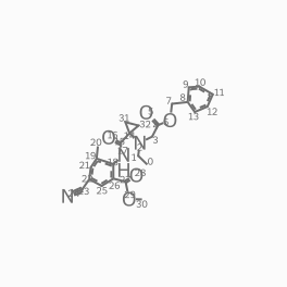 CCN(CC(=O)OCc1ccccc1)C1(C(=O)Nc2c(C)cc(C#N)cc2C(=O)OC)CC1